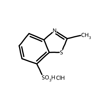 Cc1nc2cccc(S(=O)(=O)O)c2s1.Cl